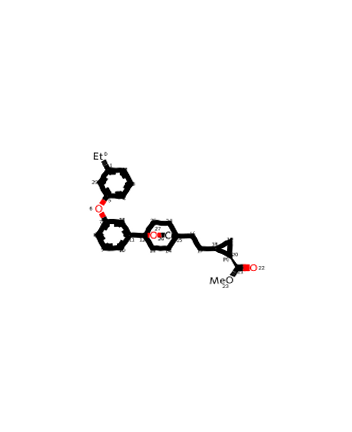 CCc1cccc(Oc2cccc(C34CCC(CCC5C[C@H]5C(=O)OC)(CC3)CO4)c2)c1